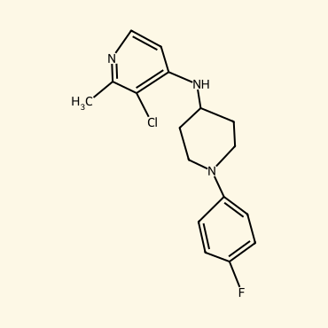 Cc1nccc(NC2CCN(c3ccc(F)cc3)CC2)c1Cl